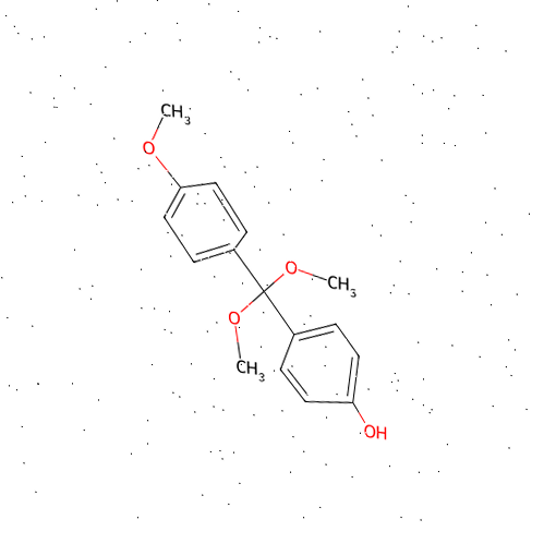 COc1ccc(C(OC)(OC)c2ccc(O)cc2)cc1